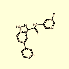 O=C(Nc1cncc(F)c1)c1n[nH]c2ccc(-c3cccnc3)cc12